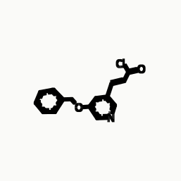 O=C(Cl)/C=C/c1cncc(OCc2ccccc2)c1